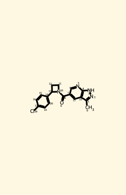 Cc1n[nH]c2ncc(C(=O)N3CCC3c3ccc(Cl)cc3)cc12